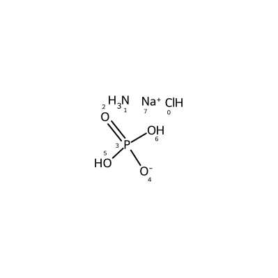 Cl.N.O=P([O-])(O)O.[Na+]